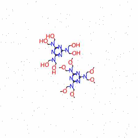 COCN(COC)c1nc(N(COC)COC)nc(N(COC)COC)n1.OCN(CO)c1nc(N(CO)CO)nc(N(CO)CO)n1